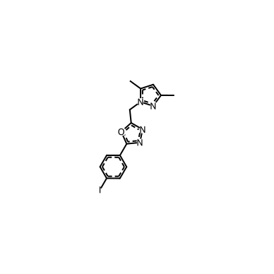 Cc1cc(C)n(Cc2nnc(-c3ccc(I)cc3)o2)n1